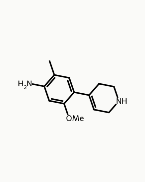 COc1cc(N)c(C)cc1C1=CCNCC1